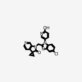 O=C1N(Cc2nc3cc(Cl)ccc3n2-c2ccc(O)nc2)c2cnccc2C12CC2